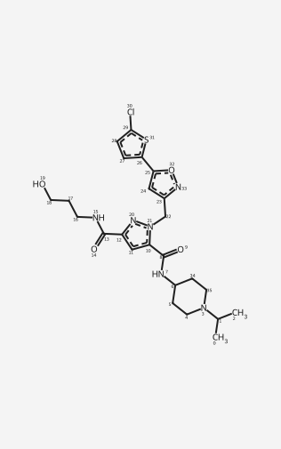 CC(C)N1CCC(NC(=O)c2cc(C(=O)NCCCO)nn2Cc2cc(-c3ccc(Cl)s3)on2)CC1